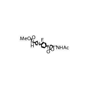 COC(=O)NC1CN(c2ccc(N3C[C@H](CNC(C)=O)OC3=O)cc2F)C1